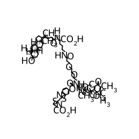 CC1=C(C)C(=O)C(C(C)(C)CC(=O)N(C)CCN(CCOCCOCCC(=O)NCCCCC(NC(=O)CC[C@@H](C)C2CCC3[C@@H]4CC[C@@H]5C[C@H](O)CC[C@]5(C)[C@H]4CC[C@]23C)C(=O)O)C(=O)Oc2ccc3nc(C4=NC(C(=O)O)CS4)sc3c2)=C(C)C1=O